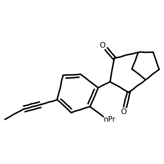 CC#Cc1ccc(C2C(=O)C3CCC(C3)C2=O)c(CCC)c1